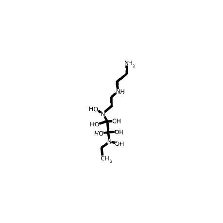 CCN(O)C(O)(O)C(O)(O)N(O)CCNCCN